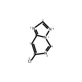 Clc1cc2ncnn2cn1